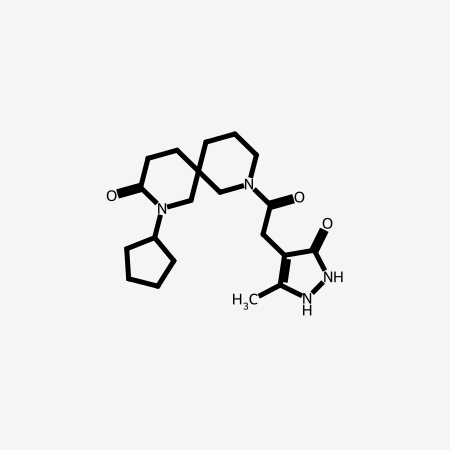 Cc1[nH][nH]c(=O)c1CC(=O)N1CCCC2(CCC(=O)N(C3CCCC3)C2)C1